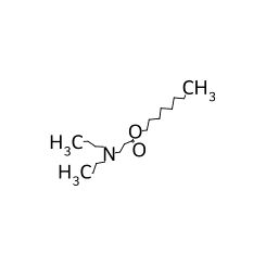 CCCCCCCCOC(=O)CCN(CCCC)CCCC